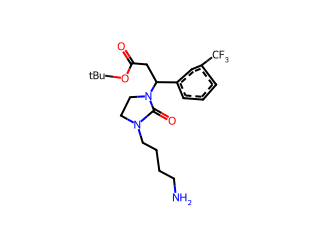 CC(C)(C)OC(=O)CC(c1cccc(C(F)(F)F)c1)N1CCN(CCCCN)C1=O